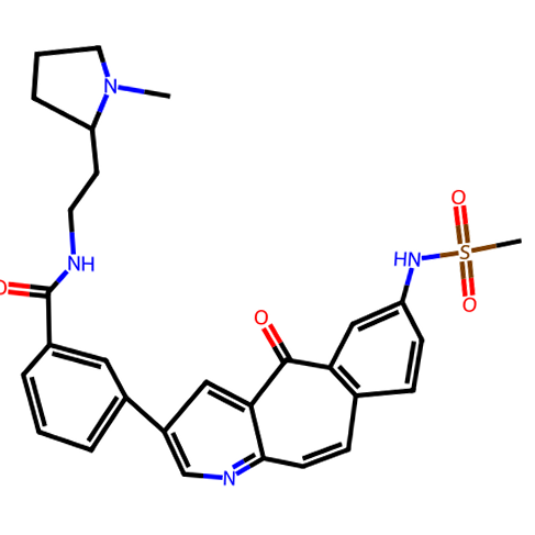 CN1CCCC1CCNC(=O)c1cccc(-c2cnc3ccc4ccc(NS(C)(=O)=O)cc4c(=O)c3c2)c1